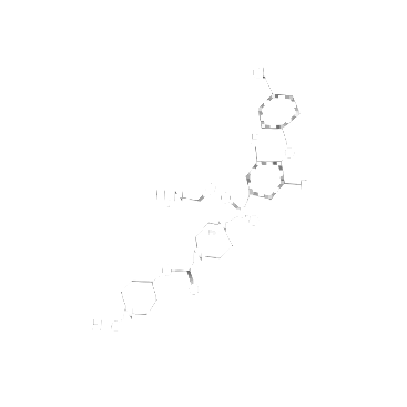 CN1CCC(OC(=O)N2CCN(S(=O)(=O)c3cc(F)c(Oc4ccc(Cl)cc4)c(F)c3)[C@@H](C(N)=O)C2)CC1